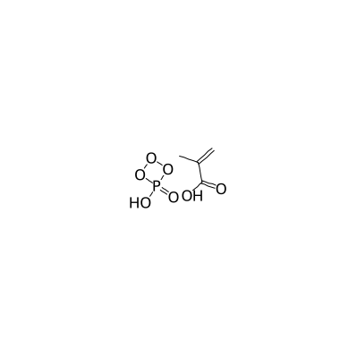 C=C(C)C(=O)O.O=P1(O)OOO1